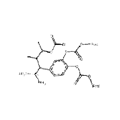 CCCC(C)OC(=O)Oc1ccc(C(C(C)C(C)OC(=O)CC)[C@H](N)C(=O)O)cc1OC(=O)OC(C)CCC